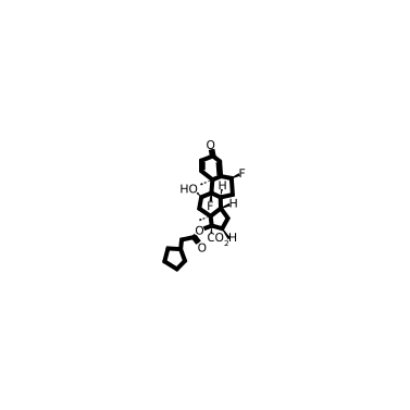 C[C@@H]1C[C@H]2[C@@H]3C[C@H](F)C4=CC(=O)C=C[C@]4(C)[C@@]3(F)[C@@H](O)C[C@]2(C)[C@@]1(OC(=O)CC1CCCC1)C(=O)O